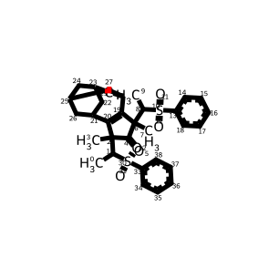 CC(C1(C)C(=O)C(C)(C(C)S(=O)(=O)c2ccccc2)C2=C1C1CC3CC(C1)CC2C3)S(=O)(=O)c1ccccc1